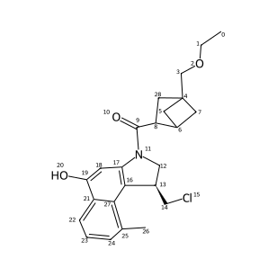 CCOCC12CC(C1)C(C(=O)N1C[C@@H](CCl)c3c1cc(O)c1cccc(C)c31)C2